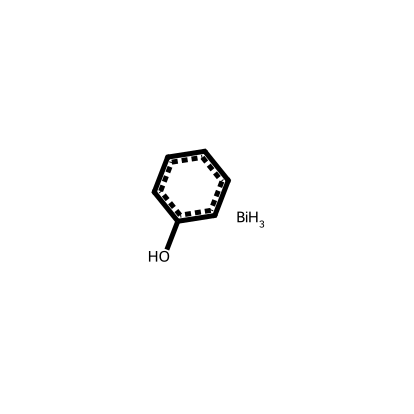 Oc1ccccc1.[BiH3]